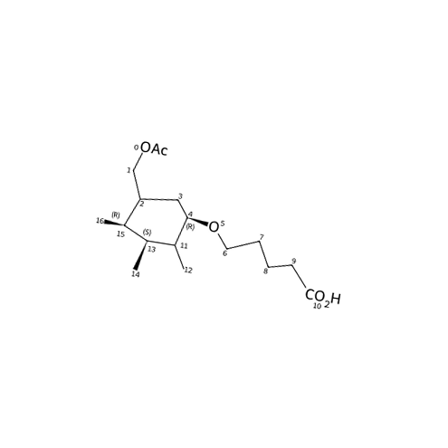 CC(=O)OCC1C[C@@H](OCCCCC(=O)O)C(C)[C@@H](C)[C@H]1C